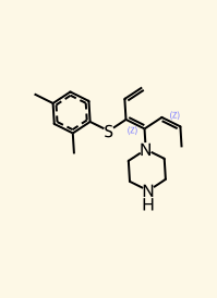 C=C/C(Sc1ccc(C)cc1C)=C(\C=C/C)N1CCNCC1